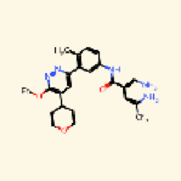 CCOc1nnc(-c2cc(NC(=O)C(/C=C(\N)C(F)(F)F)=C/N)ccc2C)cc1C1CCOCC1